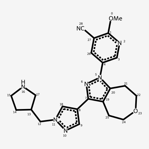 COc1ncc(-n2nc(-c3cnn(CC4CCNC4)c3)c3c2CCOCC3)cc1C#N